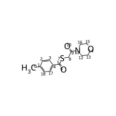 Cc1ccc(C(=O)SCC(=O)N2CCOCC2)cc1